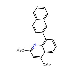 COc1cc(OC)c2cccc(-c3ccc4ccccc4c3)c2n1